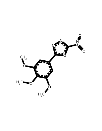 COc1cc(-c2nnc([SH](=O)=O)o2)cc(OC)c1OC